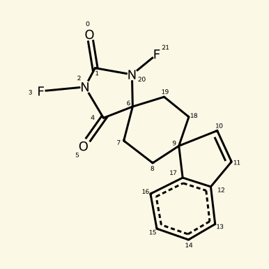 O=C1N(F)C(=O)C2(CCC3(C=Cc4ccccc43)CC2)N1F